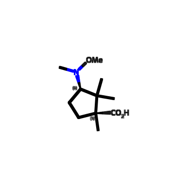 CON(C)[C@@H]1CC[C@](C)(C(=O)O)C1(C)C